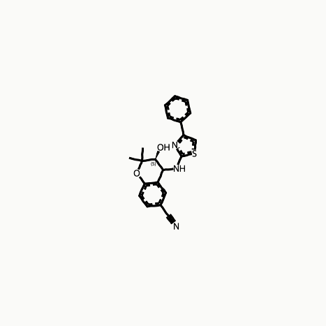 CC1(C)Oc2ccc(C#N)cc2C(Nc2nc(-c3ccccc3)cs2)[C@@H]1O